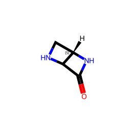 O=C1N[C@H]2CNC12